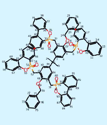 CC(C)(c1cc(CP2(=O)Oc3ccccc3-c3ccccc32)c(OCc2ccccc2)c(CP2(=O)Oc3ccccc3-c3ccccc32)c1)c1cc(CP2(=O)Oc3ccccc3-c3ccccc32)c(OCc2ccccc2)c(CP2(=O)Oc3ccccc3-c3ccccc32)c1